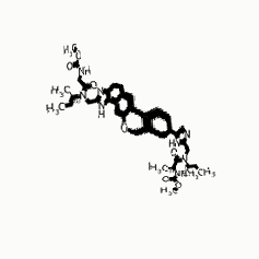 CC[C@H](C)N(Cc1nc2ccc3cc4c(cc3c2[nH]1)OCc1cc(-c2cnc(CN(C(=O)[C@H](C)NC(=O)OC)[C@@H](C)CC)[nH]2)ccc1-4)C(=O)CNC(=O)OC